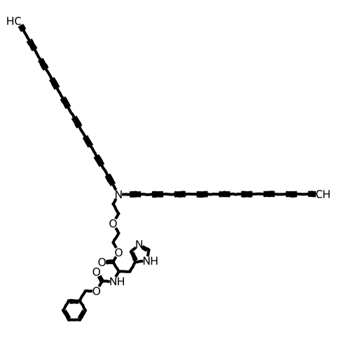 C#CC#CC#CC#CC#CC#CC#CC#CC#CN(C#CC#CC#CC#CC#CC#CC#CC#CC#C)CCOCCOC(=O)C(Cc1cnc[nH]1)NC(=O)OCc1ccccc1